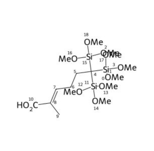 CO[Si](OC)(OC)C(CCC=C(C)C(=O)O)([Si](OC)(OC)OC)[Si](OC)(OC)OC